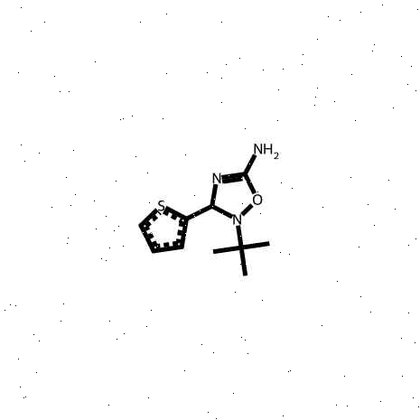 CC(C)(C)N1OC(N)=NC1c1cccs1